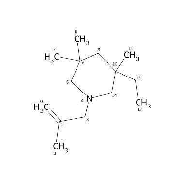 C=C(C)CN1CC(C)(C)CC(C)(CC)C1